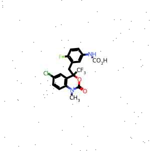 CN1C(=O)OC(Cc2cc(NC(=O)O)ccc2F)(C(F)(F)F)c2cc(Cl)ccc21